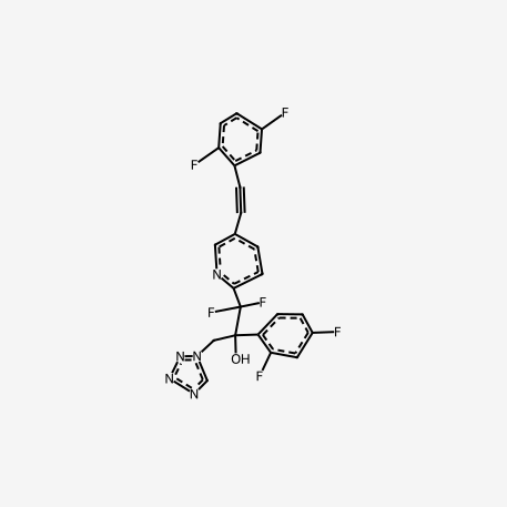 OC(Cn1cnnn1)(c1ccc(F)cc1F)C(F)(F)c1ccc(C#Cc2cc(F)ccc2F)cn1